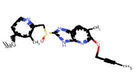 CC#CCOc1nc2[nH]c([S+]([O-])Cc3nccc(OC)c3C)nc2cc1C